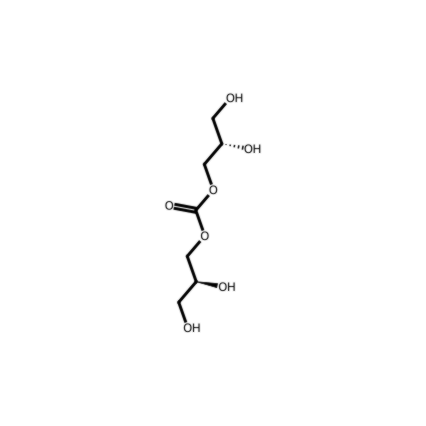 O=C(OC[C@@H](O)CO)OC[C@@H](O)CO